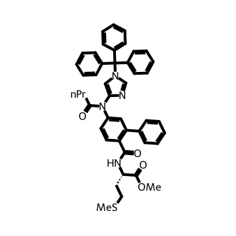 CCCC(=O)N(c1ccc(C(=O)N[C@@H](CCSC)C(=O)OC)c(-c2ccccc2)c1)c1cn(C(c2ccccc2)(c2ccccc2)c2ccccc2)cn1